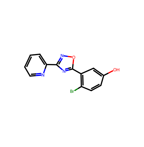 Oc1ccc(Br)c(-c2nc(-c3ccccn3)no2)c1